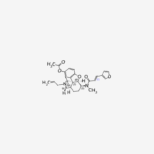 C=CCN1CC[C@@]23c4c5ccc(OC(C)=O)c4C[C@@H]1[C@@H]2CC[C@H](N(C)C(=O)/C=C/c1ccoc1)[C@@H]3O5